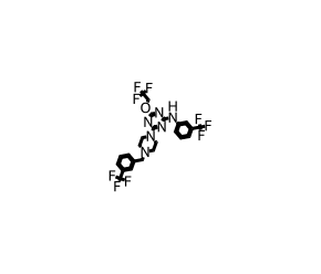 FC(F)(F)COc1nc(Nc2cccc(C(F)(F)F)c2)nc(N2CCN(Cc3cccc(C(F)(F)F)c3)CC2)n1